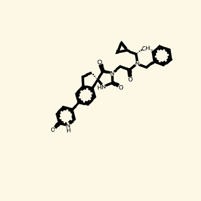 C[C@@H](C1CC1)N(Cc1ccccc1)C(=O)CN1C(=O)N[C@]2(CCc3cc(-c4ccc(=O)[nH]c4)ccc32)C1=O